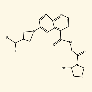 N#CC1CSCN1C(=O)CNC(=O)c1ccnc2ccc(N3CC(C(F)F)C3)cc12